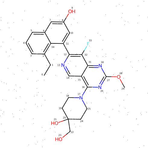 CCc1cccc2cc(O)cc(-c3ncc4c(N5CCC(O)(CO)CC5)nc(OC)nc4c3F)c12